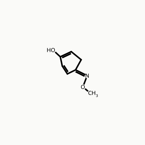 CON=C1C=CC(O)=CC1